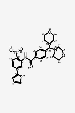 O=C(Nc1cc(-c2cccs2)ccc1[N+](=O)[O-])c1ccc(C(N2CCOCC2)N2CCOCC2)cc1